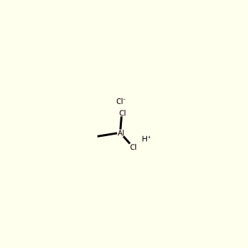 [CH3][Al]([Cl])[Cl].[Cl-].[H+]